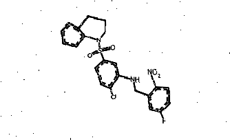 O=[N+]([O-])c1ccc(F)cc1CNc1cc(S(=O)(=O)N2CCCc3ccccc32)ccc1Cl